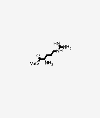 CSC(=O)[C@@H](N)CCCNC(=N)N